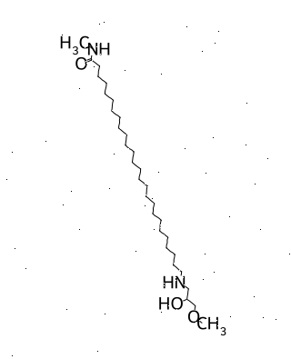 CNC(=O)CCCCCCCCCCCCCCCCCCCCCCCCCNCC(O)COC